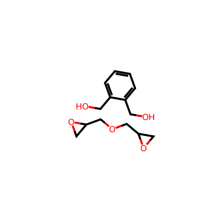 C(OCC1CO1)C1CO1.OCc1ccccc1CO